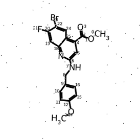 COC(=O)c1cc(NCc2ccc(OC)cc2)nc2cc(F)c(Br)cc12